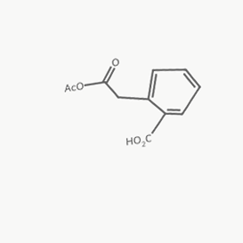 CC(=O)OC(=O)Cc1ccccc1C(=O)O